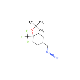 C[Si](C)(C)OC1(C(F)(F)F)CCC(CN=[N+]=[N-])CC1